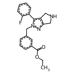 CCOC(=O)c1cccc(Cn2nc3c(c2-c2ccccc2F)CNC3)c1